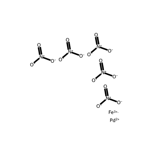 O=[N+]([O-])[O-].O=[N+]([O-])[O-].O=[N+]([O-])[O-].O=[N+]([O-])[O-].O=[N+]([O-])[O-].[Fe+3].[Pd+2]